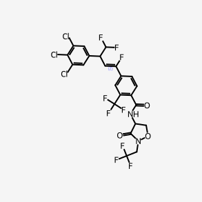 O=C(NC1CON(CC(F)(F)F)C1=O)c1ccc(/C(F)=C/C(c2cc(Cl)c(Cl)c(Cl)c2)C(F)F)cc1C(F)(F)F